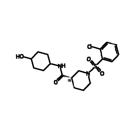 O=C(NC1CCC(O)CC1)[C@H]1CCCN(S(=O)(=O)c2ccccc2Cl)C1